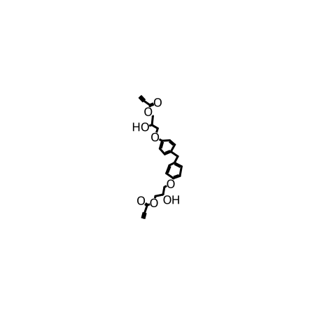 C#CC(=O)OCC(O)COc1ccc(Cc2ccc(OCC(O)COC(=O)C#C)cc2)cc1